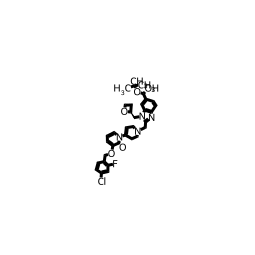 CC(C)(C)OC(O)c1ccc2nc(CN3CC=C(n4cccc(OCc5ccc(Cl)cc5F)c4=O)CC3)n(C[C@@H]3CCO3)c2c1